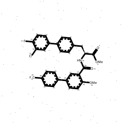 COC(=O)[C@H](Cc1ccc(-c2ccc(F)c(Cl)c2)cc1)NC(=O)c1cc(-c2ccc(C(F)(F)F)cc2)ccc1OC